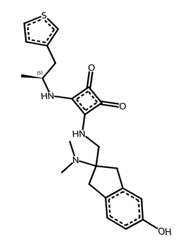 C[C@@H](Cc1ccsc1)Nc1c(NCC2(N(C)C)Cc3ccc(O)cc3C2)c(=O)c1=O